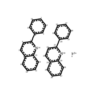 [Ir+3].c1ccc(-c2ccc3ccccc3n2)cc1.c1ccc(-c2ccc3ccccc3n2)cc1